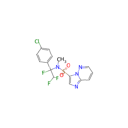 CN(C(F)(c1ccc(Cl)cc1)C(F)F)S(=O)(=O)c1cnc2cccnn12